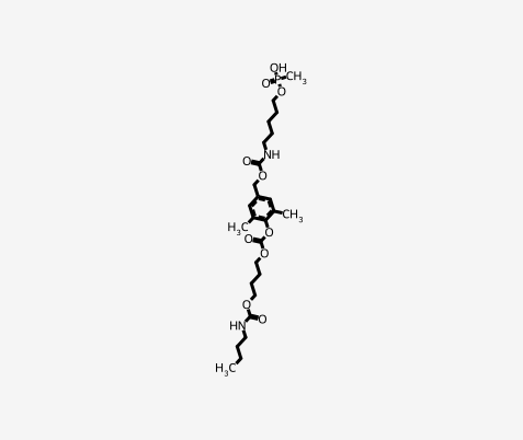 CCCCNC(=O)OCCCCOC(=O)Oc1c(C)cc(COC(=O)NCCCCCOP(C)(=O)O)cc1C